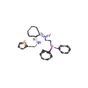 c1ccc(P(CCN[C@@H]2CCCC[C@H]2NCc2cccs2)c2ccccc2)cc1